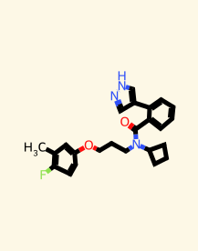 Cc1cc(OCCCN(C(=O)c2ccccc2-c2cn[nH]c2)C2CCC2)ccc1F